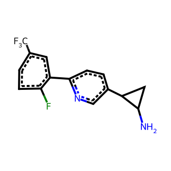 NC1CC1c1ccc(-c2cc(C(F)(F)F)ccc2F)nc1